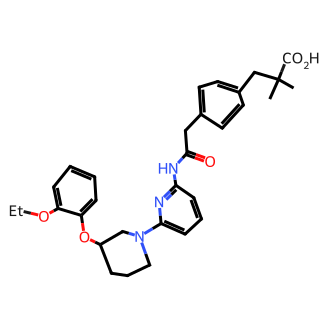 CCOc1ccccc1OC1CCCN(c2cccc(NC(=O)Cc3ccc(CC(C)(C)C(=O)O)cc3)n2)C1